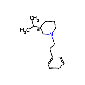 CC(C)[C@@H]1CCCN(CCc2ccccc2)C1